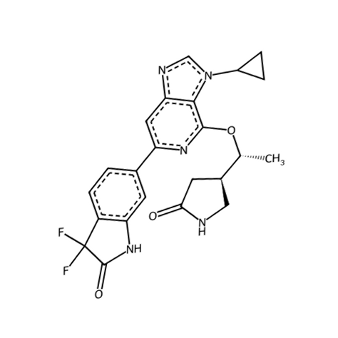 C[C@@H](Oc1nc(-c2ccc3c(c2)NC(=O)C3(F)F)cc2ncn(C3CC3)c12)[C@H]1CNC(=O)C1